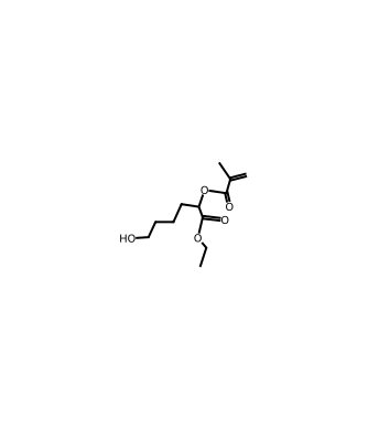 C=C(C)C(=O)OC(CCCCO)C(=O)OCC